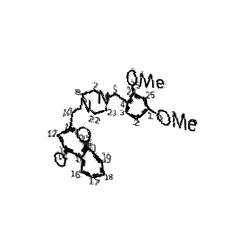 COc1ccc(CN2CCN(Cc3cc(=O)c4ccccc4o3)CC2)c(OC)c1